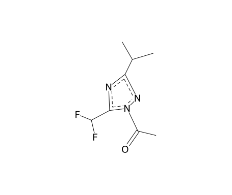 CC(=O)n1nc(C(C)C)nc1C(F)F